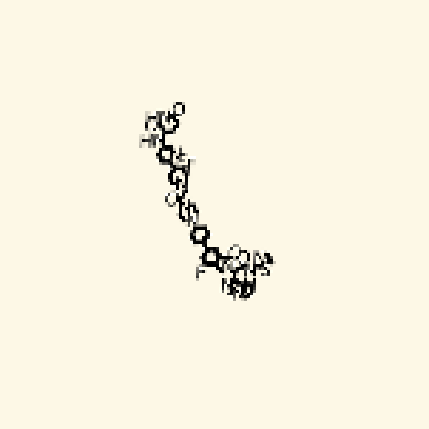 O=C1CCC(Nc2ccc(C3CCN(CC(=O)N4CCN(c5ccc(-c6cc(F)c7c(c6)C(=O)N(C(C(=O)Nc6nccs6)c6ncn8c6CCC8)C7)cc5)CC4)CC3(F)F)nc2)C(=O)N1